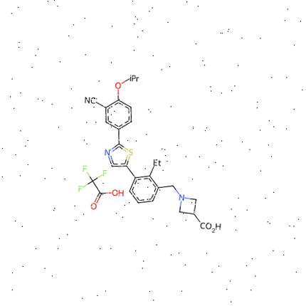 CCc1c(CN2CC(C(=O)O)C2)cccc1-c1cnc(-c2ccc(OC(C)C)c(C#N)c2)s1.O=C(O)C(F)(F)F